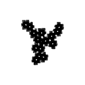 c1ccc(-c2cc(-c3ccc4ccccc4c3)ccc2-c2ccc3c(c2)c2cc(-c4ccc(-c5ccc6ccccc6c5)cc4-c4ccccc4)ccc2n3-c2ccc(-c3cc4ccccc4c4ccccc34)c3ccccc23)cc1